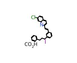 O=C(O)c1ccccc1CC[C@H](I)c1cccc(/C=C/c2ccc3ccc(Cl)cc3n2)c1